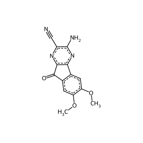 COc1cc2c(cc1OC)-c1nc(N)c(C#N)nc1C2=O